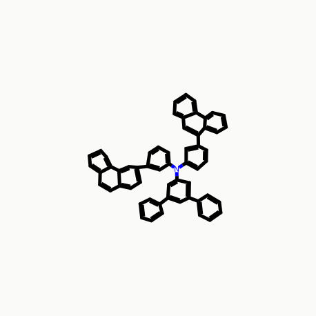 c1ccc(-c2cc(-c3ccccc3)cc(N(c3cccc(-c4ccc5ccc6ccccc6c5c4)c3)c3cccc(-c4cc5ccccc5c5ccccc45)c3)c2)cc1